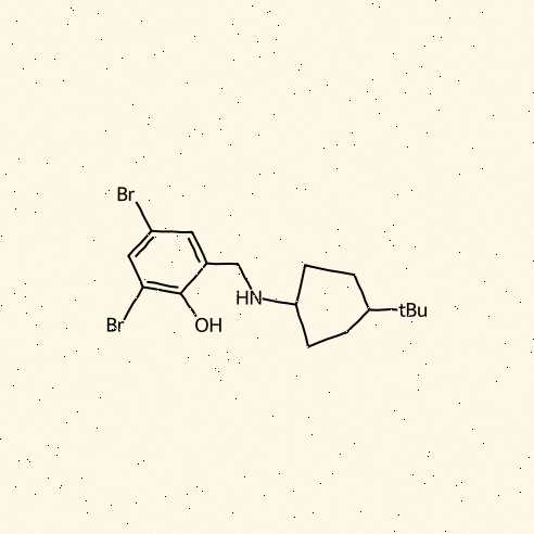 CC(C)(C)C1CCC(NCc2cc(Br)cc(Br)c2O)CC1